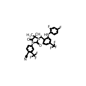 CC1(C)C(=O)N(c2ccc(C#N)c(C(F)(F)F)c2)C(=O)N1Cc1ccc(C(F)(F)F)cc1Nc1ccc(F)cc1F